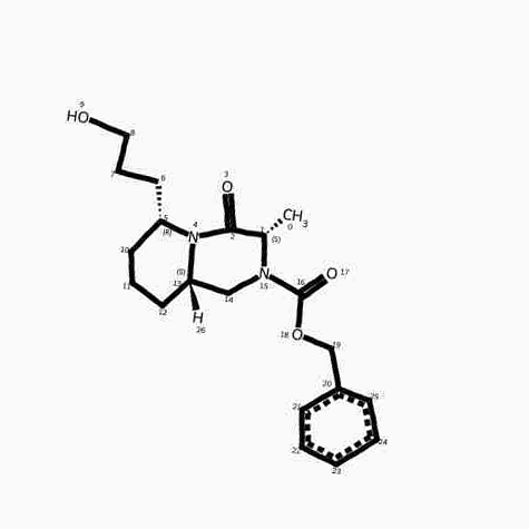 C[C@H]1C(=O)N2[C@@H](CCCO)CCC[C@H]2CN1C(=O)OCc1ccccc1